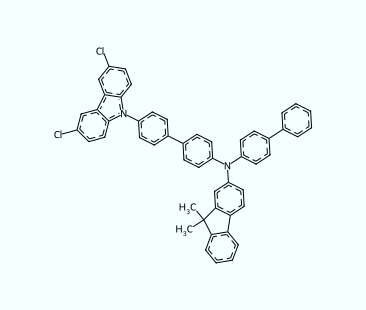 CC1(C)c2ccccc2-c2ccc(N(c3ccc(-c4ccccc4)cc3)c3ccc(-c4ccc(-n5c6ccc(Cl)cc6c6cc(Cl)ccc65)cc4)cc3)cc21